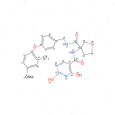 COc1ccc(Oc2ccc(CNC(=O)C3(NC(=O)c4cnc(O)nc4O)CCOC3)cc2)c(C(F)(F)F)c1